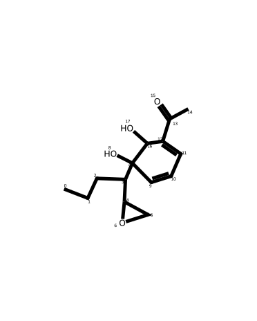 CCCC(C1CO1)C1(O)C=CC=C(C(C)=O)C1O